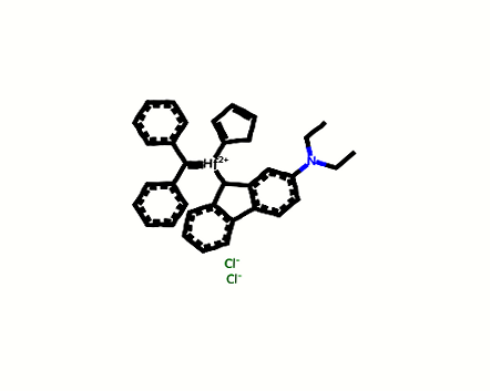 CCN(CC)c1ccc2c(c1)[CH]([Hf+2]([C]1=CC=CC1)=[C](c1ccccc1)c1ccccc1)c1ccccc1-2.[Cl-].[Cl-]